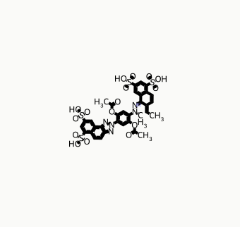 CC=C1C=Cc2c(cc(S(=O)(=O)O)cc2S(=O)(=O)O)/C1=N/N(C)c1cc(OC(C)=O)c(-n2nc3ccc4c(S(=O)(=O)O)cc(S(=O)(=O)O)cc4c3n2)cc1OC(C)=O